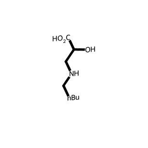 CCCCCNCC(O)C(=O)O